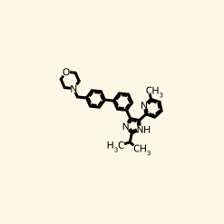 Cc1cccc(-c2[nH]c(C(C)C)nc2-c2cccc(-c3ccc(CN4CCOCC4)cc3)c2)n1